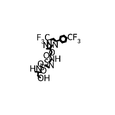 CC(C)(CO)NS(=O)(=O)c1cnc(NC(=O)Oc2cnn3c(C(F)(F)F)cc(-c4ccc(C(F)(F)F)cc4)nc23)s1